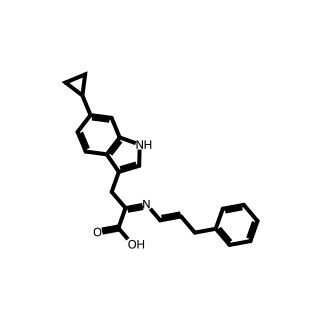 O=C(O)C(Cc1c[nH]c2cc(C3CC3)ccc12)=NC=CCc1ccccc1